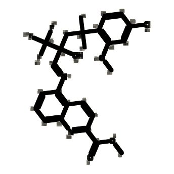 COC(=O)c1ccc2c(N=CC(O)(CC(C)(C)c3ccc(Cl)cc3OC)C(F)(F)F)cccc2n1